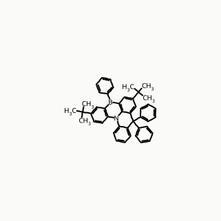 CC(C)(C)c1ccc2c(c1)B(c1ccccc1)c1cc(C(C)(C)C)cc3c1N2c1ccccc1C3(c1ccccc1)c1ccccc1